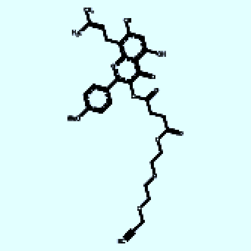 C#CCOCCOCCOC(=O)CCC(=O)Oc1c(-c2ccc(OC)cc2)oc2c(CC=C(C)C)c(O)cc(O)c2c1=O